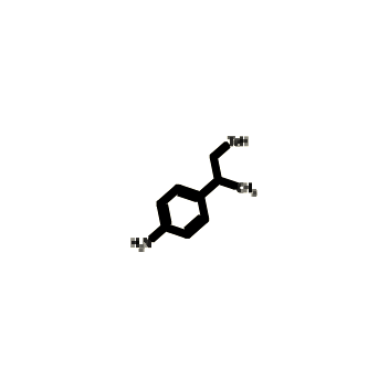 CC(C[TeH])c1ccc(N)cc1